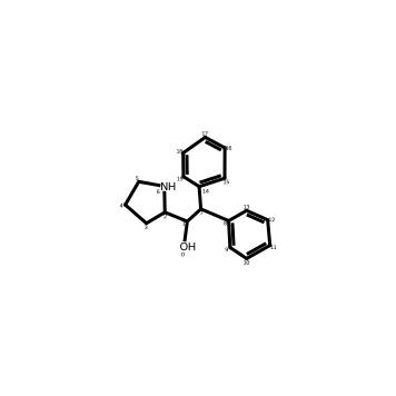 OC(C1CCCN1)C(c1ccccc1)c1ccccc1